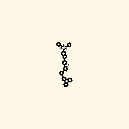 c1ccc(C2=NC(c3ccccc3)NC(c3ccc4cc(-c5ccc6c(c5)oc5ccc(-c7cccc(-c8ccc9c%10ccccc%10c%10ccccc%10c9c8)c7)cc56)ccc4c3)=N2)cc1